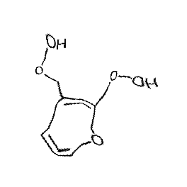 OOc1ccoc1OO